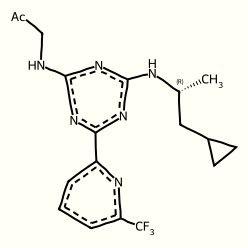 CC(=O)CNc1nc(N[C@H](C)CC2CC2)nc(-c2cccc(C(F)(F)F)n2)n1